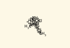 COc1ccccc1C(C(=O)NN1CCN(C2CCN(C)CC2)CC1)N(C(N)=O)c1ccc(Cl)cc1